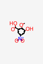 COc1c(O)cc([N+](=O)[O-])cc1C(=O)O